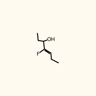 CCC=C(F)C(O)CC